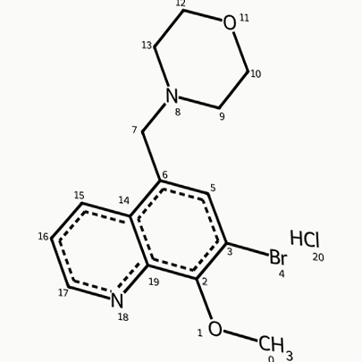 COc1c(Br)cc(CN2CCOCC2)c2cccnc12.Cl